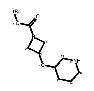 CC(C)(C)OC(=O)N1CC(OC2CCCNC2)C1